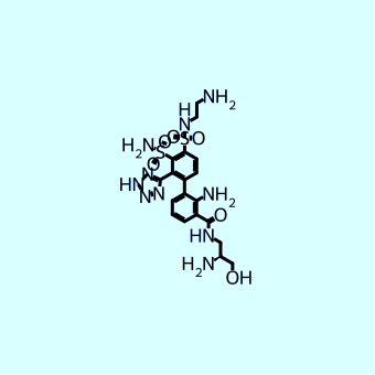 NCCNS(=O)(=O)c1ccc(-c2cccc(C(=O)NC[C@H](N)CO)c2N)c(-c2nn[nH]n2)c1S(N)(=O)=O